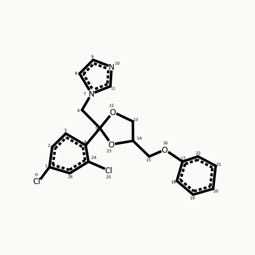 Clc1ccc(C2(Cn3ccnc3)OCC(COc3ccccc3)O2)c(Cl)c1